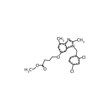 CCOC(=O)CCCOc1cc(C)c2nc(C)n(Cc3ccc(Cl)cc3Cl)c2c1